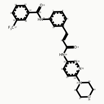 O=C(C=Cc1cccc(NC(=O)c2cccc(C(F)(F)F)c2)c1)Nc1ccc(N2CCOCC2)nn1